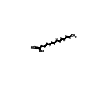 C#CC(O)CCCCCCCCCCCCC